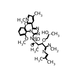 C=N/C(=N\C=C(C)C)[C@@H](OC[C@@H](C)O)[C@H](C)S(=O)(=O)Nc1nnc(-c2cncc(C)c2)n1-c1c(OC)cccc1OC